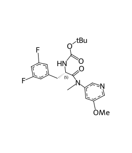 COc1cncc(N(C)C(=O)[C@H](Cc2cc(F)cc(F)c2)NC(=O)OC(C)(C)C)c1